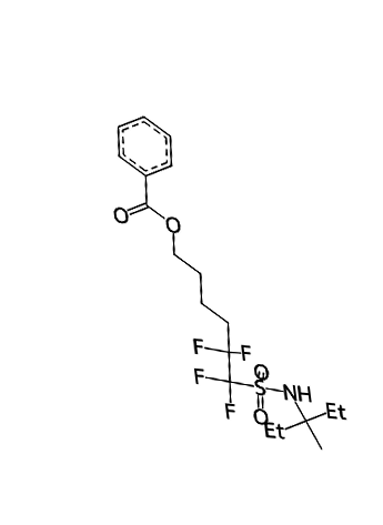 CCC(C)(CC)NS(=O)(=O)C(F)(F)C(F)(F)CCCCOC(=O)c1ccccc1